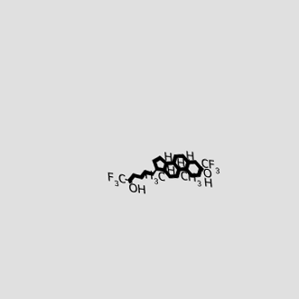 C[C@]12CC[C@@](O)(C(F)(F)F)C[C@@H]1CC[C@@H]1[C@@H]2CC[C@]2(C)[C@@H](CCCC[C@H](O)C(F)(F)F)CC[C@@H]12